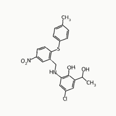 Cc1ccc(Sc2ccc([N+](=O)[O-])cc2CNc2cc(Cl)cc(C(C)O)c2O)cc1